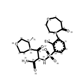 CCc1c(N2CCOCCC2=O)cccc1S(=O)(=O)N[C@@H](C(N)=O)C(=O)N1CCOC[C@@H]1C